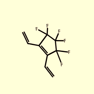 C=CC1=C(C=C)C(F)(F)C(F)(F)C1(F)F